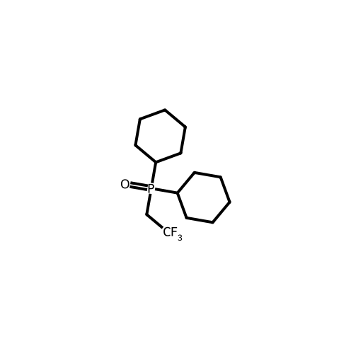 O=P(CC(F)(F)F)(C1CCCCC1)C1CCCCC1